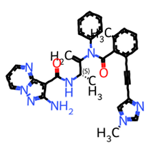 C=C([C@H](C)NC(=O)c1c(N)nn2cccnc12)N(C(=O)c1c(C)cccc1C#Cc1cn(C)cn1)c1ccccc1